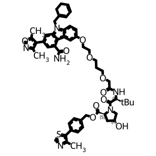 Cc1ncsc1-c1ccc(COC(=O)[C@@H]2C[C@@H](O)CN2C(=O)[C@@H](NC(=O)COCCCOCCOc2ccc3c(c2)c2c(C(N)=O)cc(-c4c(C)noc4C)cc2n3CC2=CC=CCC2)C(C)(C)C)cc1